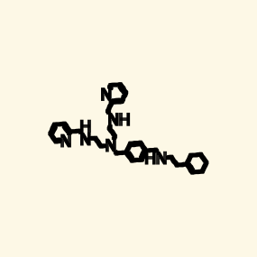 C1=C(CCNCc2ccc(CN(CCNCc3ccccn3)CCNCc3ccccn3)cc2)CCCC1